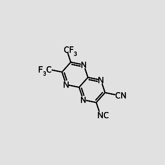 [C-]#[N+]c1nc2nc(C(F)(F)F)c(C(F)(F)F)nc2nc1C#N